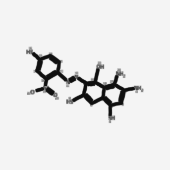 Nc1cc(S)c2cc(S)c(/N=N/c3ccc(S)cc3[N+](=O)[O-])c(O)c2c1N